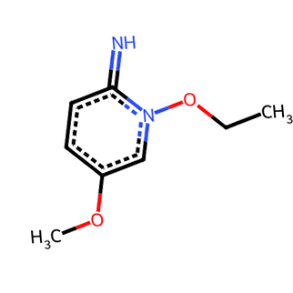 CCOn1cc(OC)ccc1=N